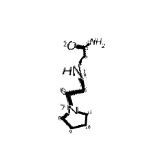 NC(=O)CNCCN1CCCC1